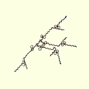 C=CCCCCCCCC(=O)OC(C/C=C\CCCCCCCCOC(=O)CCN(CCCN(CCC(=O)OCCCCCCCC/C=C\CC(CCCCCC)OC(=O)CCCCCCCC=C)CCC(=O)OCCCCCCCC/C=C\CC(CCCCCC)OC(=O)CCCCCCCC=C)CCC(=O)OCCCCCCCC/C=C\CC(CCCCCC)OC(=O)CCCCCCCC=C)CCCCCC